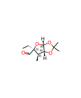 CC[C@]1(C=O)O[C@@H]2OC(C)(C)O[C@@H]2[C@H]1C